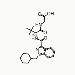 CC(C)(C)[C@H](NC(=O)c1nn(CC2CCCCC2)c2ccccc12)C(=O)NCC(=O)O